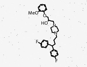 COc1ccccc1OCC(O)CN1CCN(CCCC(c2ccc(F)cc2)c2ccc(F)cc2)CC1